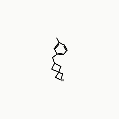 Cc1cccc(CC2CC3(CNC3)C2)c1